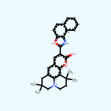 CC1(C)Cc2cc3cc(-c4nc5c(ccc6ccccc65)o4)c(=O)oc3c3c2N(CCC3(C)C)C1